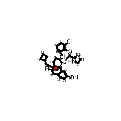 CC(Oc1c(Cl)cccc1Cl)C1=NCCN1.Oc1ccc2c(c1)[C@@]13CCCC[C@@]1(O)[C@@H](C2)N(CC1CCC1)CC3